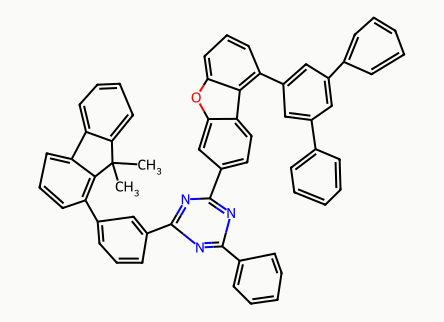 CC1(C)c2ccccc2-c2cccc(-c3cccc(-c4nc(-c5ccccc5)nc(-c5ccc6c(c5)oc5cccc(-c7cc(-c8ccccc8)cc(-c8ccccc8)c7)c56)n4)c3)c21